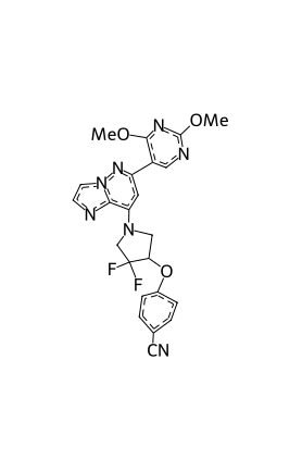 COc1ncc(-c2cc(N3CC(Oc4ccc(C#N)cc4)C(F)(F)C3)c3nccn3n2)c(OC)n1